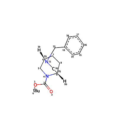 CC(C)(C)OC(=O)N1C[C@@H]2CC[C@H]1CN2Cc1ccccc1